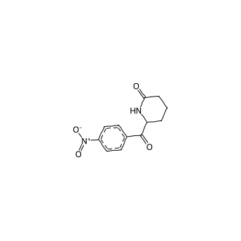 O=C1CCCC(C(=O)c2ccc([N+](=O)[O-])cc2)N1